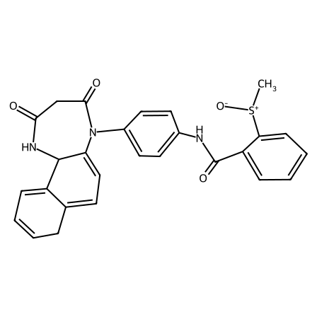 C[S+]([O-])c1ccccc1C(=O)Nc1ccc(N2C(=O)CC(=O)NC3C4=CC=CCC4=CC=C32)cc1